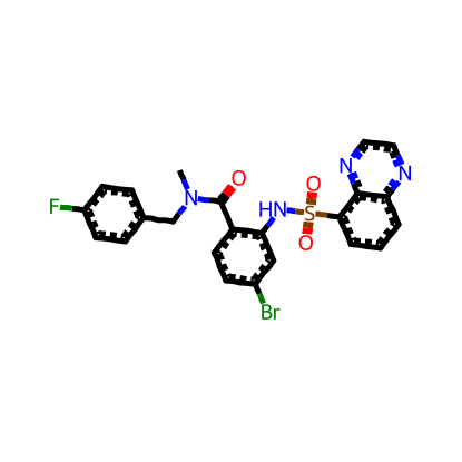 CN(Cc1ccc(F)cc1)C(=O)c1ccc(Br)cc1NS(=O)(=O)c1cccc2nccnc12